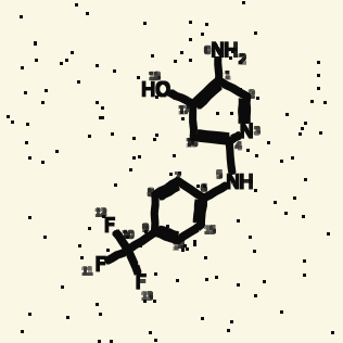 Nc1cnc(Nc2ccc(C(F)(F)F)cc2)cc1O